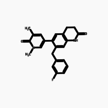 Cc1cc(-c2cc3c(cc2Cc2cccc(F)c2)NC(=O)CC3)cn(C)c1=O